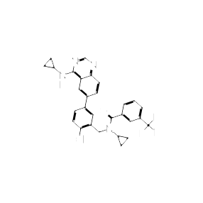 O=C(c1cccc(C(F)(F)F)c1)N(Cc1cc(-c2ccc3ncnc(NC4CC4)c3c2)ccc1Cl)C1CC1